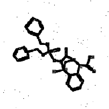 O=C(O)[C@H]1c2ccccc2[C@H]2CN1C(=O)N2OP(=O)(OCc1ccccc1)OCc1ccccc1